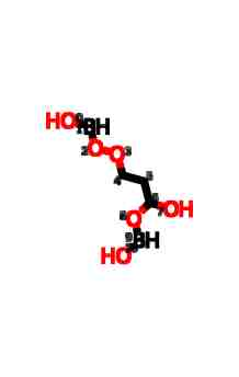 OBOOCCC(O)OBO